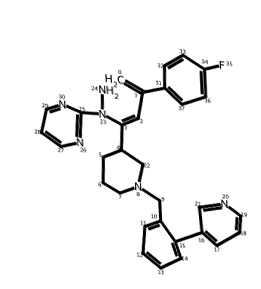 C=C(/C=C(/C1CCCN(Cc2ccccc2-c2cccnc2)C1)N(N)c1ncccn1)c1ccc(F)cc1